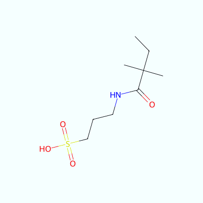 CCC(C)(C)C(=O)NCCCS(=O)(=O)O